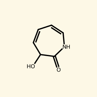 O=C1NC=CC=CC1O